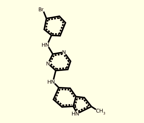 Cc1cc2cc(Nc3ccnc(Nc4cccc(Br)c4)n3)ccc2[nH]1